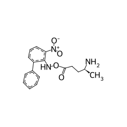 C[C@H](N)CCC(=O)ONc1c(-c2ccccc2)cccc1[N+](=O)[O-]